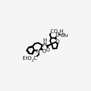 CCOC(=O)CN1C(=O)[C@@H](NC(=O)C2(CC(CC(=O)O)C(=O)OC(C)(C)C)CCCC2)CCc2ccccc21